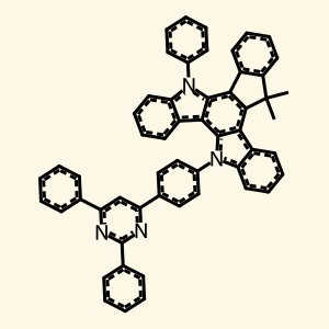 CC1(C)c2ccccc2-c2c1c1c3ccccc3n(-c3ccc(-c4cc(-c5ccccc5)nc(-c5ccccc5)n4)cc3)c1c1c3ccccc3n(-c3ccccc3)c21